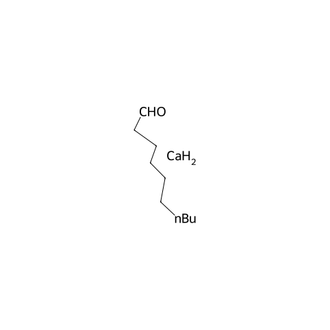 CCCCCCCCCC=O.[CaH2]